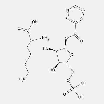 NCCCCC(N)C(=O)O.O=C(O[C@H]1O[C@H](COP(=O)(O)O)[C@@H](O)[C@H]1O)c1cccnc1